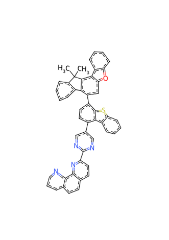 CC1(C)c2ccccc2-c2c(-c3ccc(-c4cnc(-c5ccc6ccc7cccnc7c6n5)nc4)c4c3sc3ccccc34)cc3oc4ccccc4c3c21